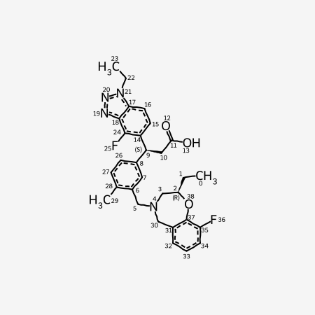 CC[C@@H]1CN(Cc2cc([C@H](CC(=O)O)c3ccc4c(nnn4CC)c3F)ccc2C)Cc2cccc(F)c2O1